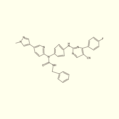 Cn1cc(-c2ccc(N(C(=O)NCc3ccccc3)c3ccc(Nc4ncc(C#N)c(-c5ccc(F)cc5)n4)cc3)nc2)cn1